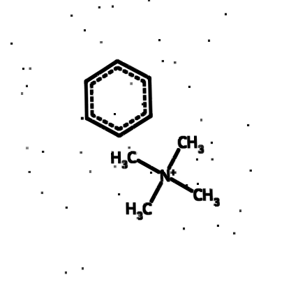 C[N+](C)(C)C.[c]1ccccc1